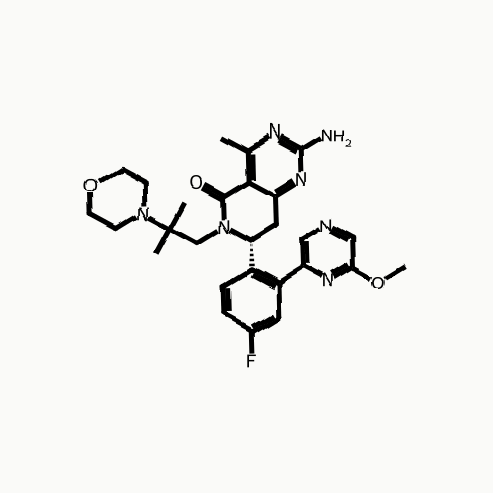 COc1cncc(-c2cc(F)ccc2[C@H]2Cc3nc(N)nc(C)c3C(=O)N2CC(C)(C)N2CCOCC2)n1